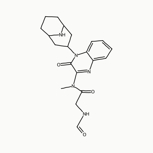 CN(C(=O)CNC=O)c1nc2ccccc2n(C2CC3CCCC(C2)N3)c1=O